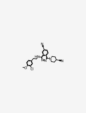 COc1ccc(CCNc2nnc(N3CCC(C#N)CC3)c3ccc(C#N)cc23)cc1Cl